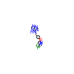 FC(F)(F)c1ccc(Oc2ccc(CCNc3ncnc4nccnc34)cc2)nn1